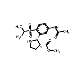 COC(=O)[C@@H]1CCN[C@@H]1c1cc(NC(C)=O)ccc1S(=O)(=O)C(C)C